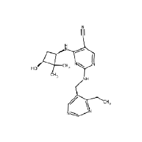 CCc1ncncc1CNc1ncc(C#N)c(N[C@@H]2C[C@H](O)C2(C)C)n1